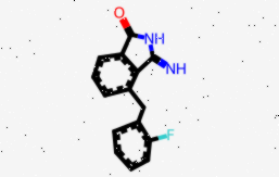 N=C1NC(=O)c2cccc(Cc3ccccc3F)c21